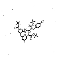 Cc1cc(CC2CN(C(=O)OC(C)(C)C)CC2NCCN(Cc2ccc(Cl)cc2)C(=O)OC(C)(C)C)nc(NC(=O)OC(C)(C)C)c1